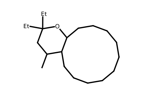 CCC1(CC)CC(C)C2CCCCCCCCCCC2O1